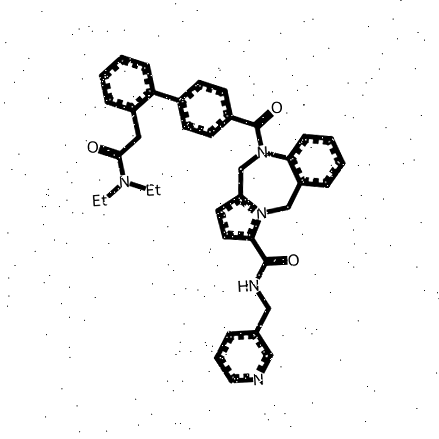 CCN(CC)C(=O)Cc1ccccc1-c1ccc(C(=O)N2Cc3ccc(C(=O)NCc4cccnc4)n3Cc3ccccc32)cc1